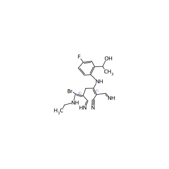 CCN/C(Br)=C(\C=N)C/C(Nc1ccc(F)cc1C(C)O)=C(\C#N)C=N